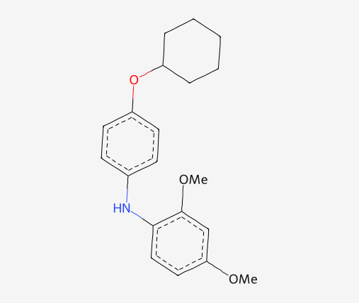 COc1ccc(Nc2ccc(OC3CCCCC3)cc2)c(OC)c1